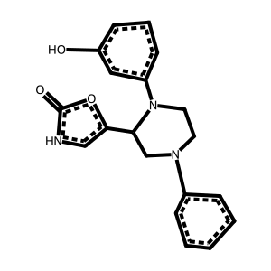 O=c1[nH]cc(C2CN(c3ccccc3)CCN2c2cccc(O)c2)o1